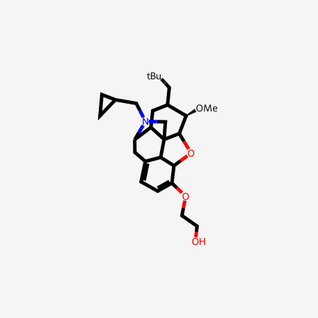 CO[C@@H]1C(CC(C)(C)C)CC2C3CC4=CC=C(OCCO)C5OC1C2(CN3CC1CC1)C45